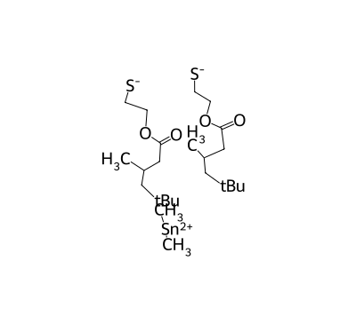 CC(CC(=O)OCC[S-])CC(C)(C)C.CC(CC(=O)OCC[S-])CC(C)(C)C.[CH3][Sn+2][CH3]